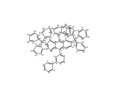 c1ccc(-c2cccc(-c3c4ccc([Si](c5ccccc5)(c5ccccc5)c5ccccc5)cc4c(-c4cccc5ccccc45)c4cc([Si](c5ccccc5)(c5ccccc5)c5ccccc5)ccc34)c2)cc1